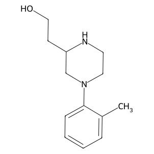 Cc1ccccc1N1CCNC(CCO)C1